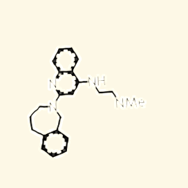 CNCCNc1cc(N2CCCc3ccccc3C2)nc2ccccc12